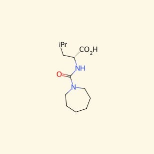 CC(C)C[C@@H](NC(=O)N1CCCCCC1)C(=O)O